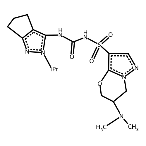 CC(C)n1nc2c(c1NC(=O)NS(=O)(=O)c1cnn3c1OCC(N(C)C)C3)CCC2